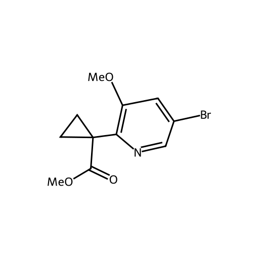 COC(=O)C1(c2ncc(Br)cc2OC)CC1